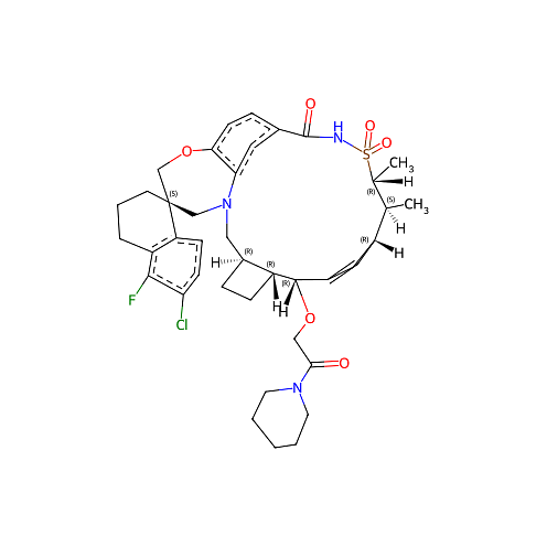 C[C@@H]1[C@@H](C)S(=O)(=O)NC(=O)c2ccc3c(c2)N(C[C@@H]2CC[C@H]2[C@@H](OCC(=O)N2CCCCC2)C2=C[C@H]1C2)C[C@@]1(CCCc2c1ccc(Cl)c2F)CO3